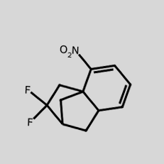 O=[N+]([O-])C1=CC=CC2CC3CC12CC3(F)F